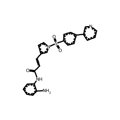 Nc1ccccc1NC(=O)C=Cc1ccn(S(=O)(=O)c2ccc(-c3cccnc3)cc2)c1